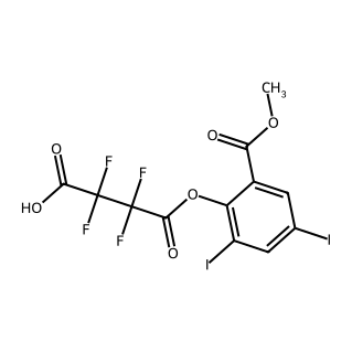 COC(=O)c1cc(I)cc(I)c1OC(=O)C(F)(F)C(F)(F)C(=O)O